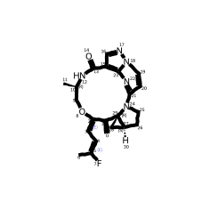 C=C1/C(=C\C=C(/C)F)OC[C@@H](C)NC(=O)c2cnn3ccc(nc23)N2CC[C@H]3C[C@]132